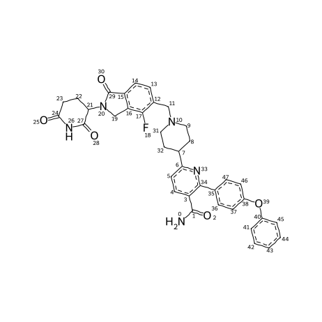 NC(=O)c1ccc(C2CCN(Cc3ccc4c(c3F)CN(C3CCC(=O)NC3=O)C4=O)CC2)nc1-c1ccc(Oc2ccccc2)cc1